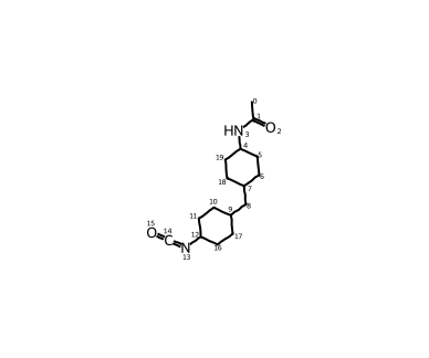 CC(=O)NC1CCC(CC2CCC(N=C=O)CC2)CC1